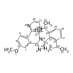 COc1ccc2c(c1)c1ncc(-c3c(C(C)C)cccc3C(C)C)n1c1nccnc21